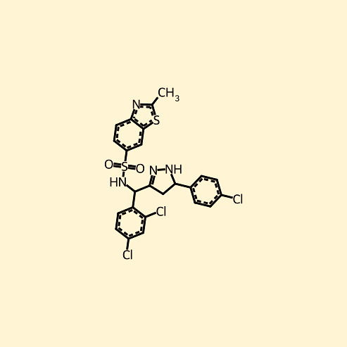 Cc1nc2ccc(S(=O)(=O)NC(C3=NNC(c4ccc(Cl)cc4)C3)c3ccc(Cl)cc3Cl)cc2s1